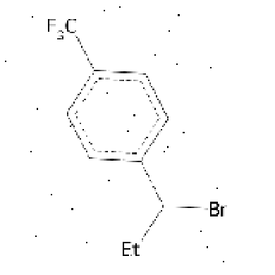 CCC(Br)c1ccc(C(F)(F)F)cc1